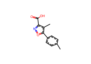 Cc1ccc(-c2onc(C(=O)O)c2C)cc1